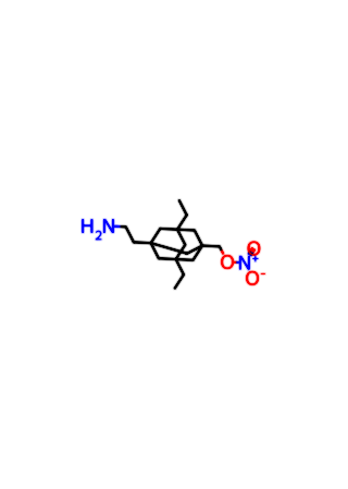 CCC12CC3(CC)CC(CCN)(C1)CC(CO[N+](=O)[O-])(C2)C3